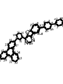 c1ccc(-c2ccc(-c3ccc4oc5c(-c6cccc(-c7ccc8c9ccccc9c9ccccc9c8c7)c6)ncnc5c4c3)cc2)cc1